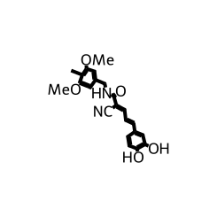 COc1cc(CNC(=O)/C(C#N)=C/C=C/c2ccc(O)c(O)c2)cc(OC)c1C